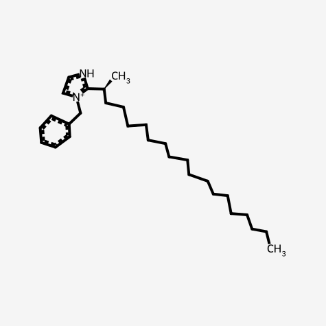 CCCCCCCCCCCCCCCCC[C@H](C)c1[nH]cc[n+]1Cc1ccccc1